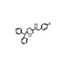 Ic1ccc(CN[C@@H]2CC[C@H](C(c3ccccc3)c3ccccc3)OC2)cc1